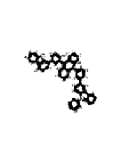 c1ccc(-n2c3ccccc3c3cc(-c4cccc(-c5c6ccccc6c(-c6cccc(-c7cccc8c7oc7ccccc78)c6)c6ccccc56)c4)ccc32)cc1